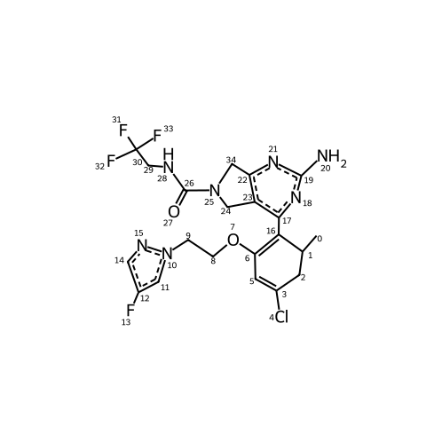 CC1CC(Cl)=CC(OCCn2cc(F)cn2)=C1c1nc(N)nc2c1CN(C(=O)NCC(F)(F)F)C2